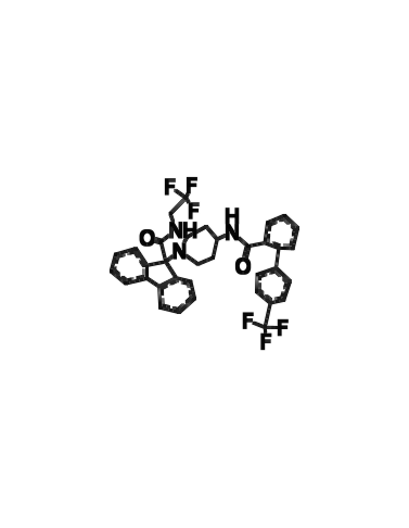 O=C(NC1CCN(C2(C(=O)NCC(F)(F)F)c3ccccc3-c3ccccc32)CC1)c1ccccc1-c1ccc(C(F)(F)F)cc1